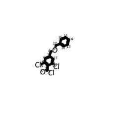 O=C(Cl)c1c(Cl)cc(COCc2ccccc2)cc1Cl